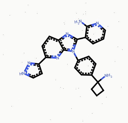 Nc1ncccc1-c1nc2ccc(-c3cc[nH]n3)nc2n1-c1ccc(C2(N)CCC2)cc1